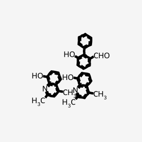 Cc1cc(C)c2cccc(O)c2n1.Cc1cc(C)c2cccc(O)c2n1.O=Cc1cccc(O)c1-c1ccccc1